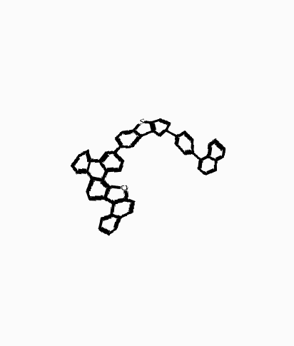 c1ccc2c(-c3ccc(-c4ccc5sc6ccc(-c7ccc8c(c7)c7ccccc7c7ccc9c(oc%10ccc%11ccccc%11c%109)c78)cc6c5c4)cc3)cccc2c1